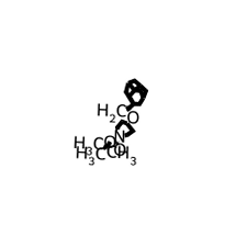 C=C(OC1CCN(C(=O)OC(C)(C)C)CC1)C12CC3CC4CC(C1)C4(C3)C2